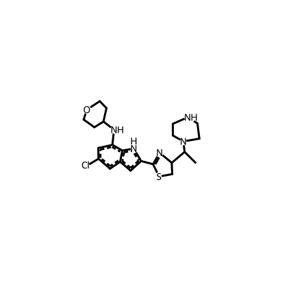 CC(C1CSC(c2cc3cc(Cl)cc(NC4CCOCC4)c3[nH]2)=N1)N1CCNCC1